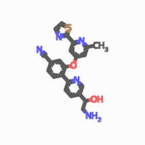 Cc1cc(Oc2cc(C#N)ccc2-c2ccc(C(O)CN)cn2)cc(-c2nccs2)n1